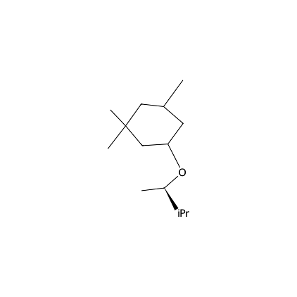 CC1CC(O[C@H](C)C(C)C)CC(C)(C)C1